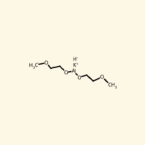 COCC[O][Al][O]CCOC.[H-].[K+]